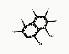 Oc1cc(F)c(F)c2c(F)c(F)c(F)c(O)c12